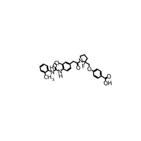 Cc1ccccc1NC(=O)Nc1ccc(CC(=O)N2CCC[C@]2(F)COc2ccc(C(=O)O)cc2)cc1Cl